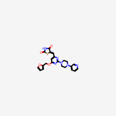 O=C1NC(=O)/C(=C/c2cc(OCc3ccco3)nc(N3CCN(c4cccnc4)CC3)n2)S1